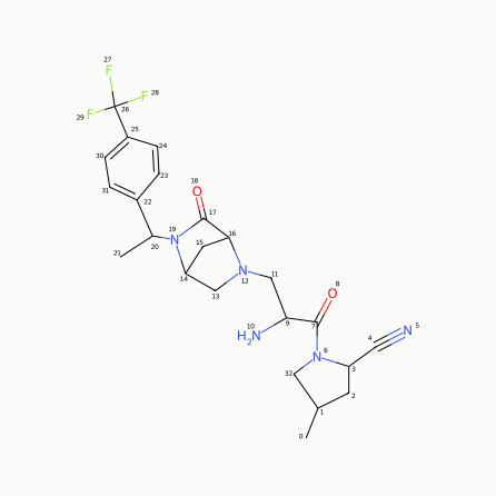 CC1CC(C#N)N(C(=O)C(N)CN2CC3CC2C(=O)N3C(C)c2ccc(C(F)(F)F)cc2)C1